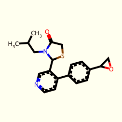 CC(C)CN1C(=O)CSC1c1cnccc1-c1ccc(C2CO2)cc1